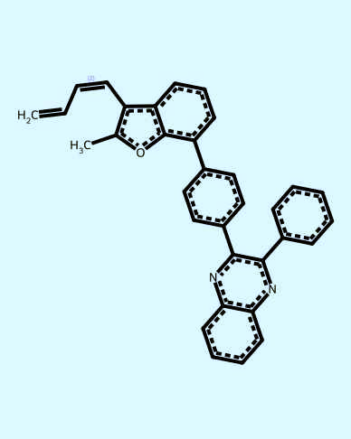 C=C/C=C\c1c(C)oc2c(-c3ccc(-c4nc5ccccc5nc4-c4ccccc4)cc3)cccc12